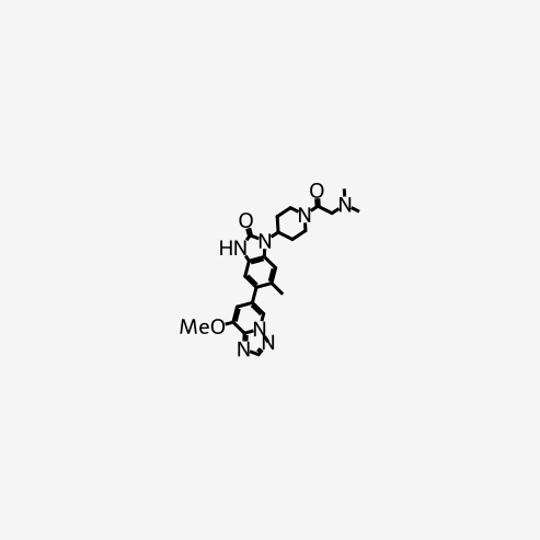 COc1cc(-c2cc3[nH]c(=O)n(C4CCN(C(=O)CN(C)C)CC4)c3cc2C)cn2ncnc12